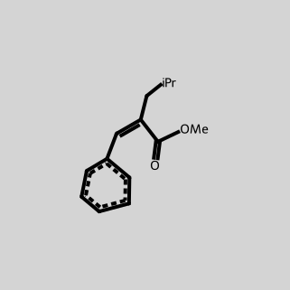 COC(=O)C(=Cc1ccccc1)CC(C)C